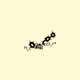 Cc1cccc(OP(=O)(O)CN[C@@H](Cc2ccc(-c3ccccc3)cc2)C(=O)O)c1